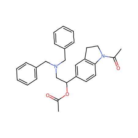 CC(=O)OC(CN(Cc1ccccc1)Cc1ccccc1)c1ccc2c(c1)CCN2C(C)=O